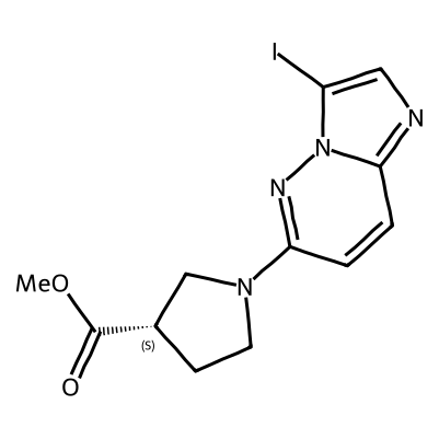 COC(=O)[C@H]1CCN(c2ccc3ncc(I)n3n2)C1